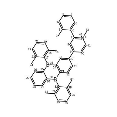 Cc1ccccc1-c1cc(-c2ccc3c(c2)B(c2c(C)cccc2C)c2ccccc2B3c2c(C)cccc2C)cc[n+]1C